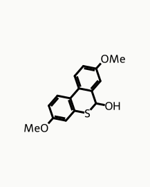 COc1ccc2c(c1)SC(O)c1cc(OC)ccc1-2